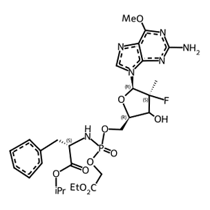 CCOC(=O)COP(=O)(N[C@@H](Cc1ccccc1)C(=O)OC(C)C)OC[C@H]1O[C@@H](n2cnc3c(OC)nc(N)nc32)[C@@](C)(F)C1O